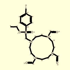 CCOP(=O)(CN1CCN(C=O)CCN(C=O)CCN(C=O)CC1)c1ccc(I)cc1